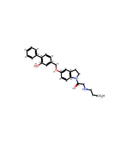 O=C(O)CCNCC(=O)N1CCc2cc(OCc3ccc(-c4ccccc4)c(O)c3)ccc21